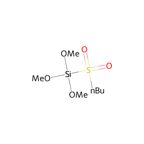 CCCCS(=O)(=O)[Si](OC)(OC)OC